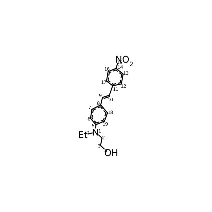 CCN(CCO)c1ccc(C=Cc2ccc([N+](=O)[O-])cc2)cc1